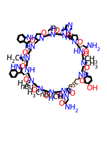 C=CC[C@@H]1NC(=O)[C@H](Cc2c[nH]c3ccccc23)NC(=O)C2CCCN2C(=O)[C@H](CC(C)C)NC(=O)[C@H](Cc2cnc[nH]2)NC(=O)[C@@H]2CCCN2C(=O)[C@H](CC(N)=O)NC(=O)[C@H](C)N(C)C(=O)[C@H](Cc2ccc(O)cc2)NC(=O)CSC[C@@H](C(=O)NCC(N)=O)NC(=O)[C@H](C)NC(=O)[C@H](CCCC)N(C)C(=O)[C@H](CCCC)N(C)C(=O)[C@H](Cc2c[nH]c3ccccc23)NC1=O